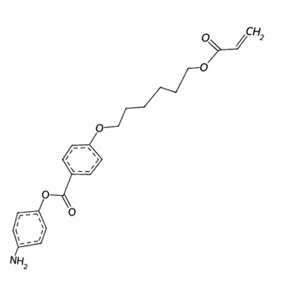 C=CC(=O)OCCCCCCOc1ccc(C(=O)Oc2ccc(N)cc2)cc1